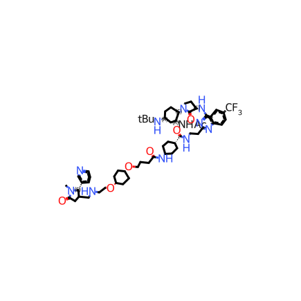 CC(=O)N[C@@H]1C[C@H](NC(C)(C)C)CC[C@@H]1N1CC[C@H](Nc2nc(CCNC(=O)[C@H]3CC[C@H](NC(=O)CCCO[C@H]4CC[C@H](OCCNCC5CC(=O)N(C)[C@@H]5c5cccnc5)CC4)CC3)nc3ccc(C(F)(F)F)cc23)C1=O